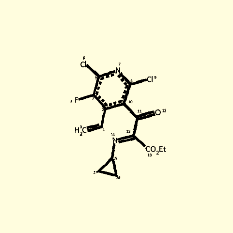 C=Cc1c(F)c(Cl)nc(Cl)c1C(=O)C(=NC1CC1)C(=O)OCC